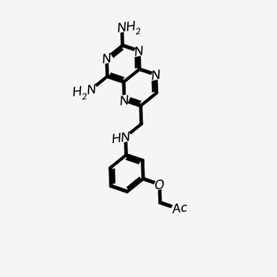 CC(=O)COc1cccc(NCc2cnc3nc(N)nc(N)c3n2)c1